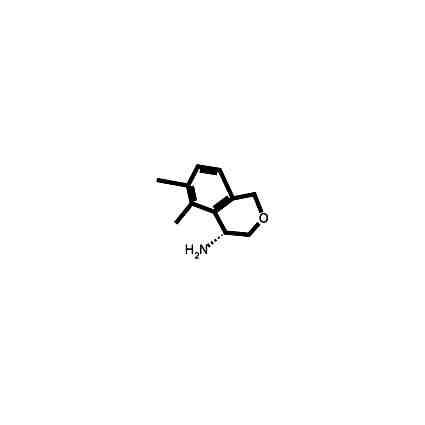 Cc1ccc2c(c1C)[C@@H](N)COC2